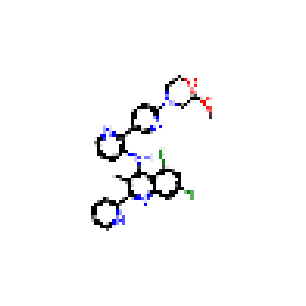 COC1CN(c2ccc(-c3ncccc3Nc3c(C)c(-c4ccccn4)nc4cc(F)cc(F)c34)cn2)CCO1